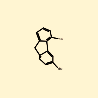 CC(C)(C)c1ccc2c(c1)-c1c(cccc1C(C)(C)C)C2